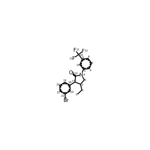 CCC1CN(c2cccc(C(F)(F)F)c2)C(=O)C1c1cccc(Br)c1